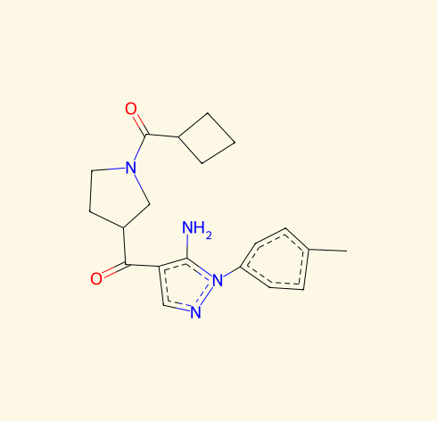 Cc1ccc(-n2ncc(C(=O)C3CCN(C(=O)C4CCC4)C3)c2N)cc1